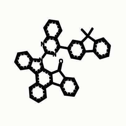 CC1(C)c2ccccc2-c2ccc(-c3nc(-n4c5ccccc5c5c6ccccc6c6c(c54)C(=O)c4ccccc4-6)nc4ccccc34)cc21